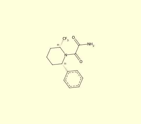 NC(=O)C(=O)N1[C@H](c2ccccc2)CCC[C@@H]1C(F)(F)F